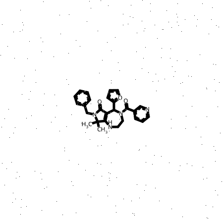 CC1(C)C2=C(C(=O)N1Cc1ccccc1)C(c1ccco1)N(C(=O)c1cccnc1)CCN2